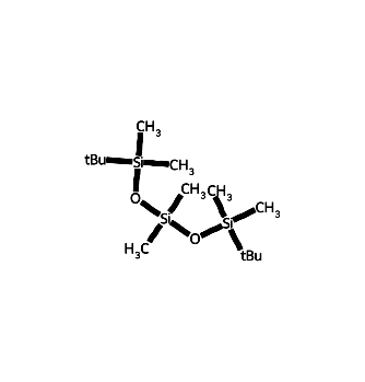 CC(C)(C)[Si](C)(C)O[Si](C)(C)O[Si](C)(C)C(C)(C)C